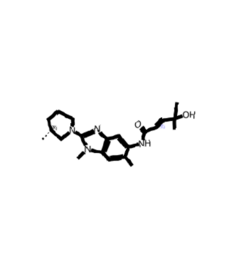 Cc1cc2c(cc1NC(=O)/C=C/C(C)(C)O)nc(N1CCC[C@@H](C)C1)n2C